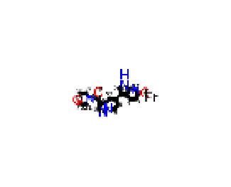 CCOc1ccc2c(-c3ccn4ncc(C(=O)N5CCOCC5)c4c3)c[nH]c2n1